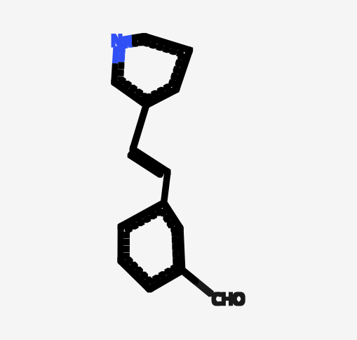 O=Cc1cccc(/C=C/c2cccnc2)c1